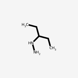 CCC(CC)NN